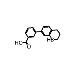 O=C(O)c1cccc(-c2ccc3c(c2)BCCC3)c1